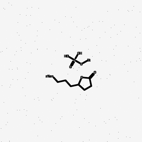 CCCCCCCCCCCCC1CCC(=O)O1.CCOP(=O)(O)O